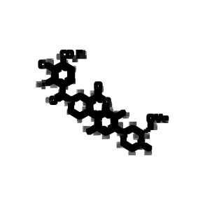 CCOC(=O)c1ccc(C(=O)N2CCc3c(c(=O)oc4c(C)c(N5CCN(C)[C@@H](COC)C5)cc(C)c34)C2)c(F)c1Cl